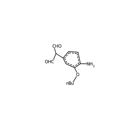 CCCCOc1cc(C(C=O)C=O)ccc1N